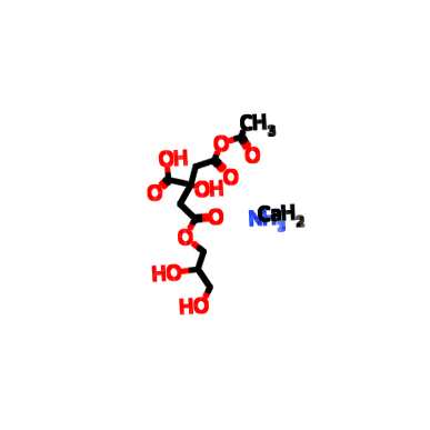 CC(=O)OC(=O)CC(O)(CC(=O)OCC(O)CO)C(=O)O.N.[CaH2]